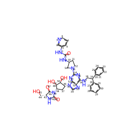 O=C(Nc1cccnc1)NC1CCN(c2nc(NCC(c3ccccc3)c3ccccc3)c3ncn([C@@H]4C[C@H](N5C(=O)N[C@H](CO)C5=O)[C@@H](O)[C@H]4O)c3n2)C1